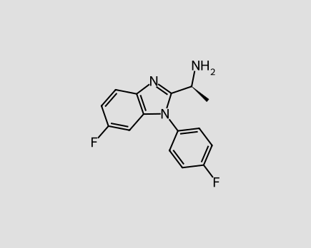 C[C@H](N)c1nc2ccc(F)cc2n1-c1ccc(F)cc1